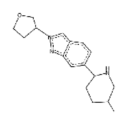 CC1CCC(c2ccc3cn(C4CCOC4)nc3c2)NC1